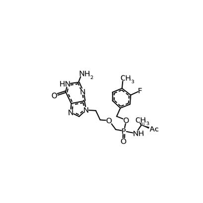 CC(=O)[C@H](C)NP(=O)(COCCn1cnc2c(=O)[nH]c(N)nc21)OCc1ccc(C)c(F)c1